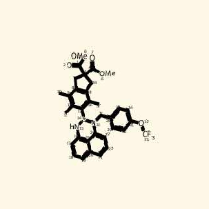 COC(=O)C1(C(=O)OC)Cc2c(C)c(C)c(B3Nc4cccc5cccc(c45)N3Cc3ccc(OC(F)(F)F)cc3)c(C)c2C1